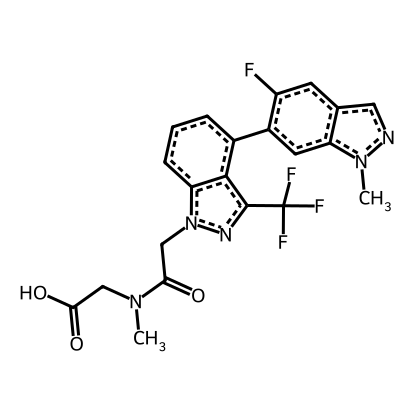 CN(CC(=O)O)C(=O)Cn1nc(C(F)(F)F)c2c(-c3cc4c(cnn4C)cc3F)cccc21